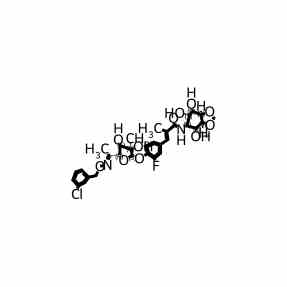 CC(=Cc1ccc(O[C@@H]2O[C@H](C(C)=NOCc3cccc(Cl)c3)[C@H](O)[C@@]2(C)O)c(F)c1)C(=O)N[C@@H]1[C@H](O)[C@@H](O)[C@H]2OCO[C@H]2[C@@H]1O